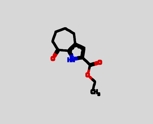 CCOC(=O)c1cc2c([nH]1)C(=O)CCCC2